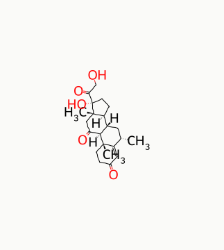 C[C@H]1C[C@@H]2[C@H](C(=O)C[C@@]3(C)[C@H]2CC[C@]3(O)C(=O)CO)[C@@]2(C)CCC(=O)C=C12